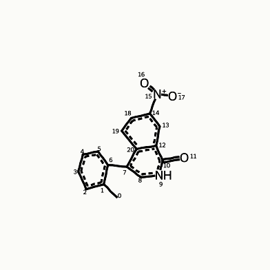 Cc1ccccc1-c1c[nH]c(=O)c2cc([N+](=O)[O-])ccc12